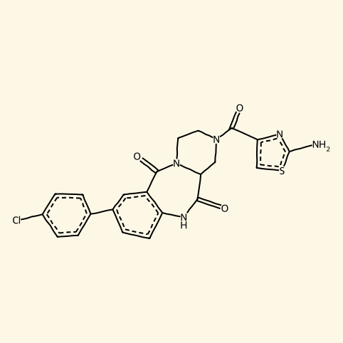 Nc1nc(C(=O)N2CCN3C(=O)c4cc(-c5ccc(Cl)cc5)ccc4NC(=O)C3C2)cs1